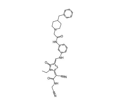 CCn1c(=C(C#N)C(=O)NCC#N)sc(=CNc2cccc(NC(=O)CN3CCC(Cc4ccccc4)CC3)c2)c1=O